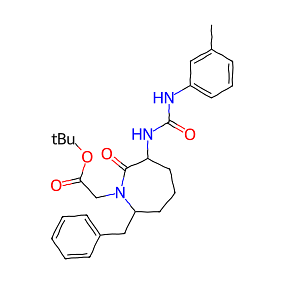 Cc1cccc(NC(=O)NC2CCCC(Cc3ccccc3)N(CC(=O)OC(C)(C)C)C2=O)c1